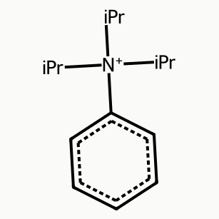 CC(C)[N+](c1ccccc1)(C(C)C)C(C)C